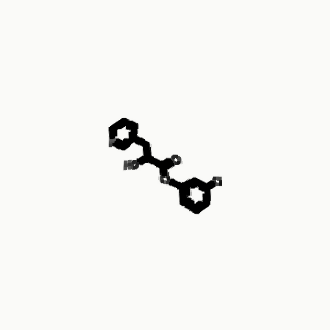 O=C(Oc1cccc(Cl)c1)C(O)Cc1cccnc1